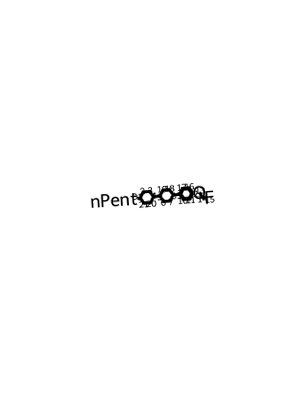 CCCCCC1CCC(C2CCC(c3ccc(OCF)cc3)CC2)CC1